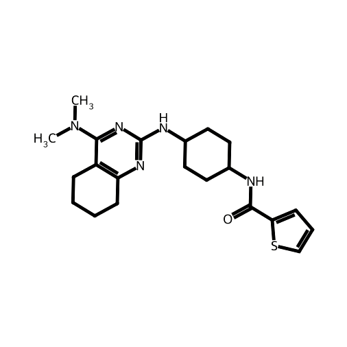 CN(C)c1nc(NC2CCC(NC(=O)c3cccs3)CC2)nc2c1CCCC2